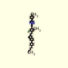 CCCCCc1ccc(-c2ccc3cc(CCc4cc(C)c(C#Cc5ncc(-c6ccc(C)cc6)cn5)cc4F)ccc3c2)cc1